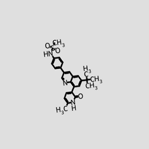 Cc1ccc(-c2cc(C(C)(C)C)cc3cc(-c4ccc(NS(C)(=O)=O)cc4)cnc23)c(=O)[nH]1